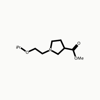 COC(=O)C1CCN(CCOC(C)C)C1